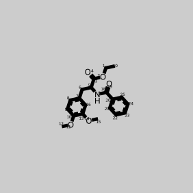 CCOC(=O)C(Cc1ccc(OC)c(OC)c1)NC(=O)c1ccccc1